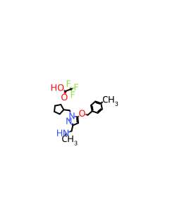 CNCc1cc(OCc2ccc(C)cc2)n(CC2CCCC2)n1.O=C(O)C(F)(F)F